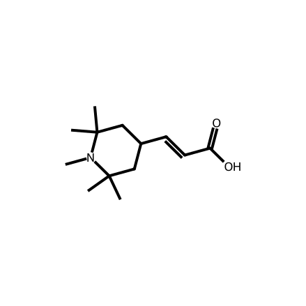 CN1C(C)(C)CC(C=CC(=O)O)CC1(C)C